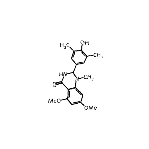 COc1cc(OC)c2c(c1)N(C)C(c1cc(C)c(O)c(C)c1)NC2=O